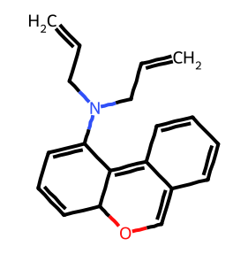 C=CCN(CC=C)C1=CC=CC2OC=c3ccccc3=C12